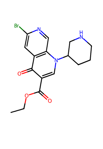 CCOC(=O)c1cn(C2CCCNC2)c2cnc(Br)cc2c1=O